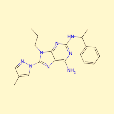 CCCn1c(-n2cc(C)cn2)nc2c(N)nc(NC(C)c3ccccc3)nc21